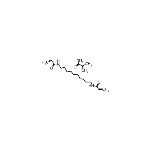 C=C(C)C(N)=O.C=CC(=O)NCCCCCCCCCCNC(=O)C=C